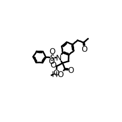 COC(=O)C1(C(=O)O)Cc2cc(CC(C)=O)ccc2N1S(=O)(=O)c1ccccc1